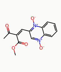 COC(=O)C(=Cc1c[n+]([O-])c2ccccc2[n+]1[O-])C(C)=O